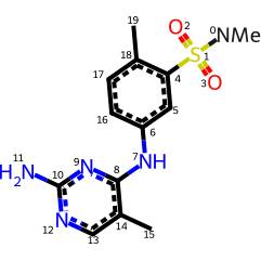 CNS(=O)(=O)c1cc(Nc2nc(N)ncc2C)ccc1C